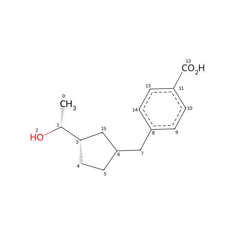 C[C@@H](O)[C@H]1CCC(Cc2ccc(C(=O)O)cc2)C1